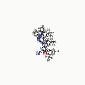 CC(C)(C)c1cc(C(C)(C)C)c2oc3c(C#N)cc4c(c5cc(C(C)(C)C)cc6c7c8c9cc(C(C)(C)C)ccc9n(-c9ccccc9-c9ccccc9)c8ncc7n4c56)c3c2c1